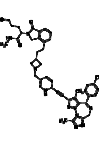 CNC(=O)C(CCC=O)N1Cc2c(CCC3CN(CC4=CNC(C#Cc5sc6c(c5C)C(c5ccc(Cl)cc5)=NCc5nnc(C)n5-6)C=C4)C3)cccc2C1=O